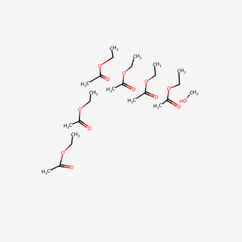 CCOC(C)=O.CCOC(C)=O.CCOC(C)=O.CCOC(C)=O.CCOC(C)=O.CCOC(C)=O.CO